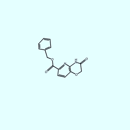 O=C1COc2ccc(C(=O)OCc3ccccc3)nc2N1